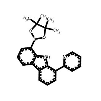 CC1(C)OB(c2cccc3c2[nH]c2c(-c4ccccn4)cccc23)OC1(C)C